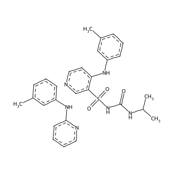 Cc1cccc(Nc2ccccn2)c1.Cc1cccc(Nc2ccncc2S(=O)(=O)NC(=O)NC(C)C)c1